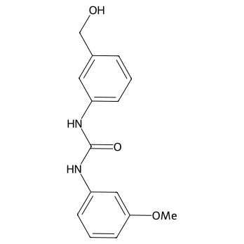 COc1cccc(NC(=O)Nc2cccc(CO)c2)c1